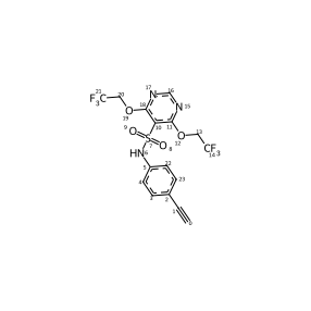 C#Cc1ccc(NS(=O)(=O)c2c(OCC(F)(F)F)ncnc2OCC(F)(F)F)cc1